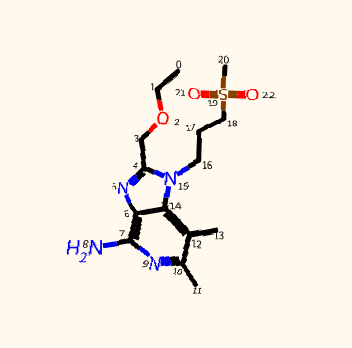 CCOCc1nc2c(N)nc(C)c(C)c2n1CCCS(C)(=O)=O